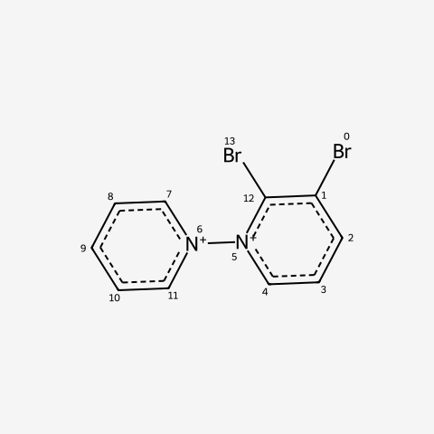 Brc1ccc[n+](-[n+]2ccccc2)c1Br